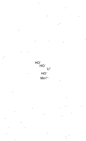 [Li+].[Mn+2].[OH-].[OH-].[OH-]